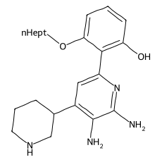 CCCCCCCOc1cccc(O)c1-c1cc(C2CCCNC2)c(N)c(N)n1